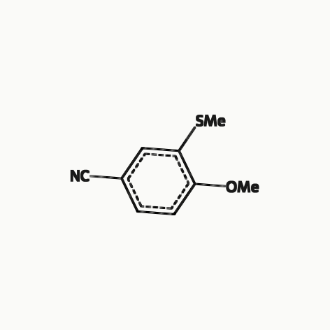 COc1ccc(C#N)cc1SC